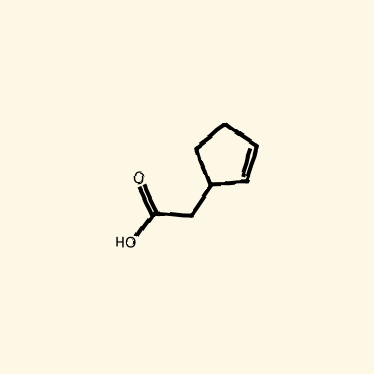 O=C(O)CC1C=CCC1